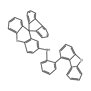 c1ccc(-c2cccc3oc4ccccc4c23)c(Nc2ccc3c(c2)C2(c4ccccc4S3)c3ccccc3-c3ccccc32)c1